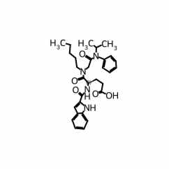 CCCCCN(CC(=O)N(c1ccccc1)C(C)C)C(=O)[C@@H](CCC(=O)O)NC(=O)c1cc2ccccc2[nH]1